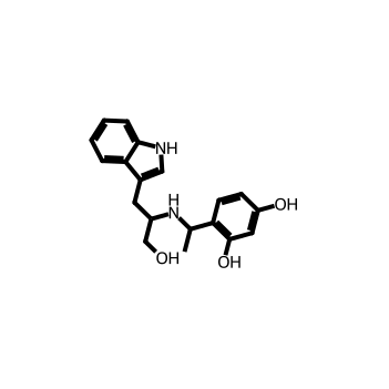 CC(NC(CO)Cc1c[nH]c2ccccc12)c1ccc(O)cc1O